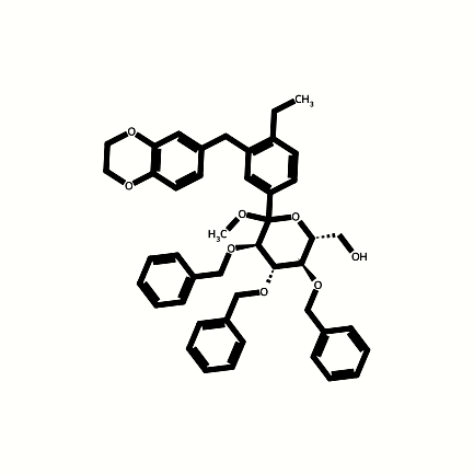 CCc1ccc(C2(OC)O[C@H](CO)[C@@H](OCc3ccccc3)[C@H](OCc3ccccc3)[C@H]2OCc2ccccc2)cc1Cc1ccc2c(c1)OCCO2